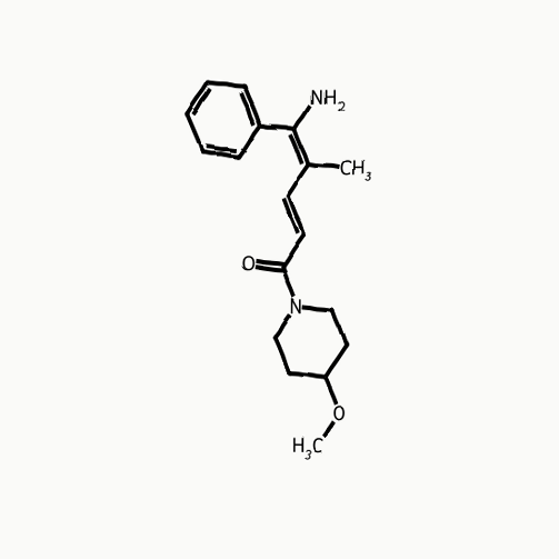 COC1CCN(C(=O)/C=C/C(C)=C(/N)c2ccccc2)CC1